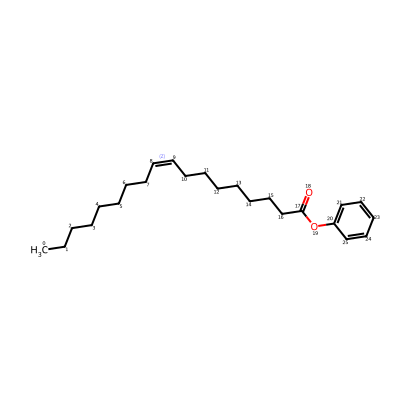 CCCCCCCC/C=C\CCCCCCCC(=O)Oc1cc[c]cc1